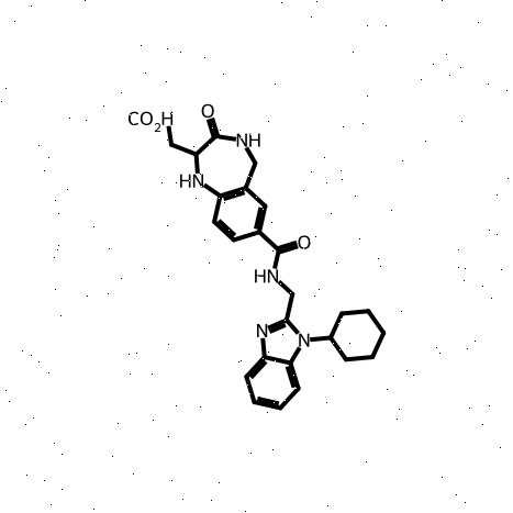 O=C(O)CC1Nc2ccc(C(=O)NCc3nc4ccccc4n3C3CCCCC3)cc2CNC1=O